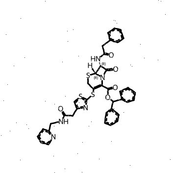 O=C(Cc1csc(SC2=C(C(=O)OC(c3ccccc3)c3ccccc3)N3C(=O)[C@@H](NC(=O)Cc4ccccc4)[C@H]3SC2)n1)NCc1ccccn1